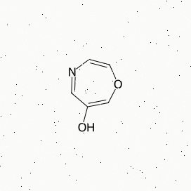 OC1=COC=CN=C1